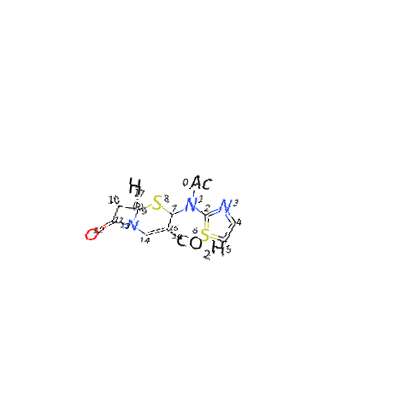 CC(=O)N(c1nccs1)C1S[C@@H]2CC(=O)N2C=C1C(=O)O